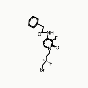 O=C(Cc1ccccc1)Nc1ccn(CC[C@H](F)CBr)c(=O)c1F